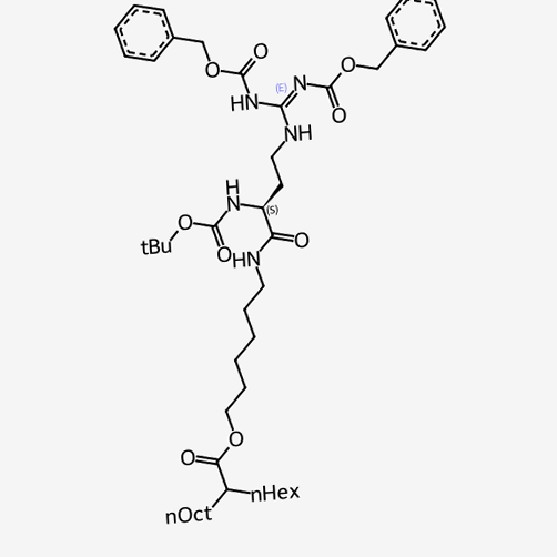 CCCCCCCCC(CCCCCC)C(=O)OCCCCCCNC(=O)[C@H](CCN/C(=N\C(=O)OCc1ccccc1)NC(=O)OCc1ccccc1)NC(=O)OC(C)(C)C